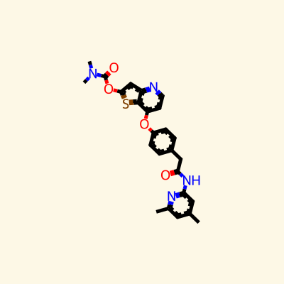 Cc1cc(C)nc(NC(=O)Cc2ccc(Oc3ccnc4cc(OC(=O)N(C)C)sc34)cc2)c1